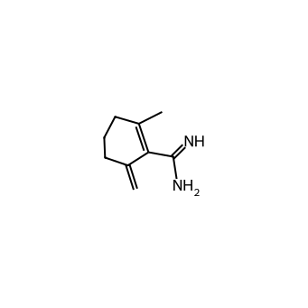 C=C1CCCC(C)=C1C(=N)N